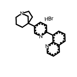 Br.c1cnc2c(-c3ccc(C45CCCN(CC4)C5)cn3)cccc2c1